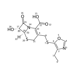 CCc1ncoc1SCC1=C(C(=O)O)N2C(=O)[C@@H](O)[C@@H]2SC1